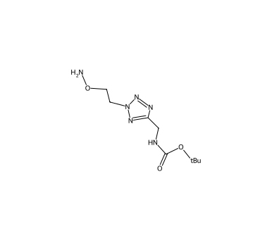 CC(C)(C)OC(=O)NCc1nnn(CCON)n1